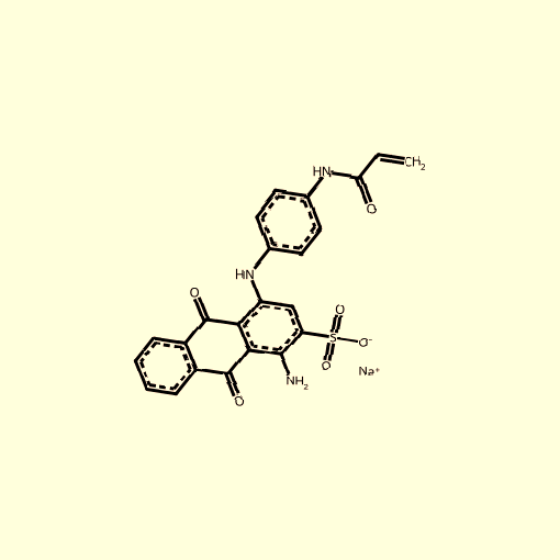 C=CC(=O)Nc1ccc(Nc2cc(S(=O)(=O)[O-])c(N)c3c2C(=O)c2ccccc2C3=O)cc1.[Na+]